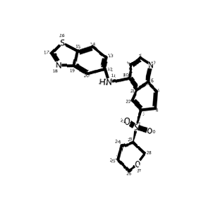 O=S(=O)(c1ccc2nccc(Nc3ccc4scnc4c3)c2c1)[C@@H]1CCCOC1